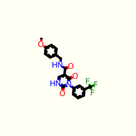 COc1ccc(CNC(=O)c2c[nH]c(=O)n(-c3cccc(C(F)(F)F)c3)c2=O)cc1